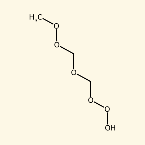 COOCOCOOO